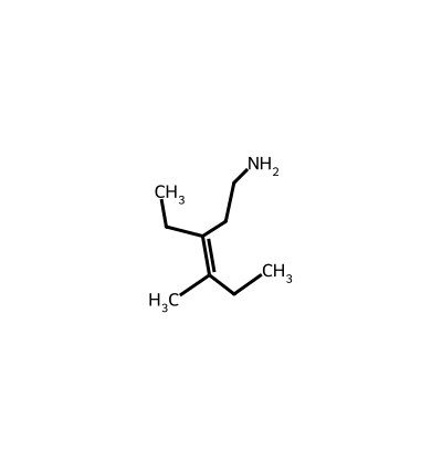 CCC(C)=C(CC)CCN